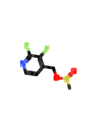 CS(=O)OCc1ccnc(F)c1F